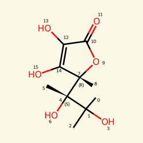 CC(C)(O)[C@](C)(O)[C@@]1(C)OC(=O)C(O)=C1O